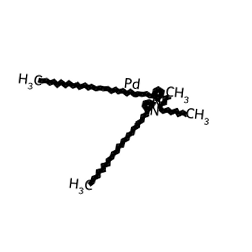 CCCCCCCCCCCCCCCCCCCC=CCCCc1ccccc1N=C(CCCCCCCC)C(CCCC)=Nc1ccccc1CCCC=CCCCCCCCCCCCCCCCCCCCCCCCCC.[Pd]